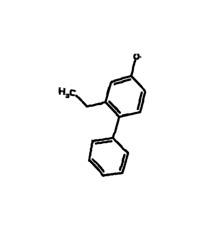 CCc1cc([O])ccc1-c1ccccc1